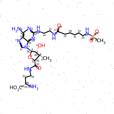 C[C@H]1[C@@H](O)[C@H](n2cnc3c(N)nc(NCCNC(=O)CCCCCNS(C)(=O)=O)nc32)O[C@@H]1C(=O)NCC[C@H](N)C(=O)O